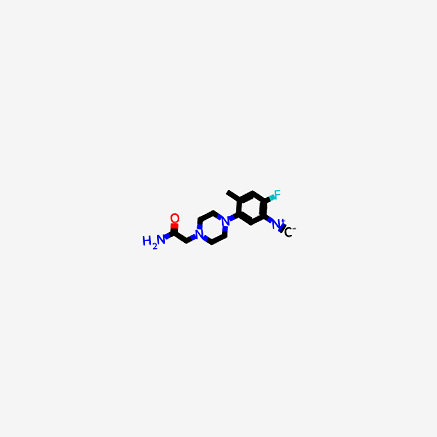 [C-]#[N+]c1cc(N2CCN(CC(N)=O)CC2)c(C)cc1F